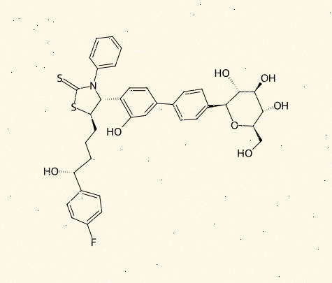 OC[C@H]1O[C@@H](c2ccc(-c3ccc([C@@H]4[C@@H](CCC[C@@H](O)c5ccc(F)cc5)SC(=S)N4c4ccccc4)c(O)c3)cc2)[C@H](O)[C@@H](O)[C@@H]1O